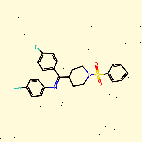 O=S(=O)(c1ccccc1)N1CCC(/C(=N/c2ccc(F)cc2)c2ccc(F)cc2)CC1